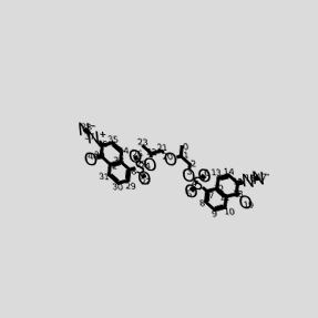 CC(COS(=O)(=O)c1cccc2c1C=CC(=[N+]=[N-])C2=O)OCC(C)OS(=O)(=O)c1cccc2c1C=CC(=[N+]=[N-])C2=O